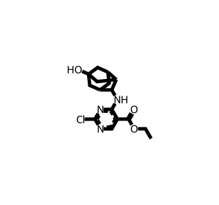 CCOC(=O)c1cnc(Cl)nc1NC1C2CC3CC(O)(C2)CC31